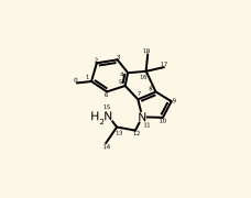 Cc1ccc2c(c1)-c1c(ccn1CC(C)N)C2(C)C